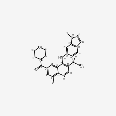 Cc1cc(C(=O)N2CCOCC2)cc2c(Nc3ccc4cnn(C)c4c3)c(C(N)=O)cnc12